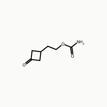 NC(=O)OCCC1CC(=O)C1